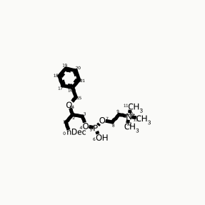 CCCCCCCCCCCC(COP(O)OCC[N+](C)(C)C)OCc1ccccc1